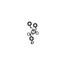 COc1ccc(C(=O)N2CC(=O)N(Cc3ccccc3)[C@@H](CCc3ccccc3)C2)cc1